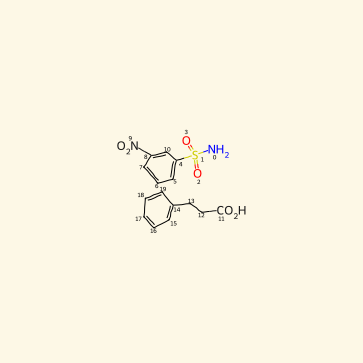 NS(=O)(=O)c1cccc([N+](=O)[O-])c1.O=C(O)CCc1ccccc1